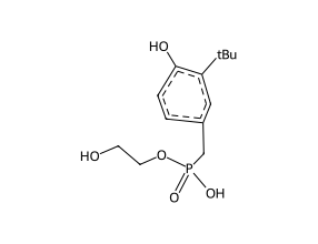 CC(C)(C)c1cc(CP(=O)(O)OCCO)ccc1O